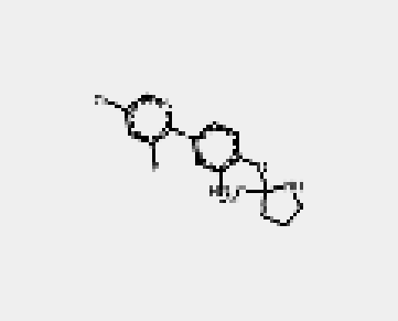 O=C(O)[C@]1(Oc2ccc(-c3ncc(Cl)cc3F)cc2O)CCCN1